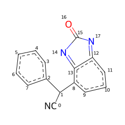 N#CC(c1ccccc1)c1cccc2c1=NC(=O)N=2